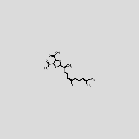 C=C(CCC=C(C)CCC=C(C)C)C1OC(C(=O)O)C(C(=O)O)O1